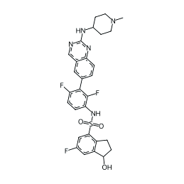 CN1CCC(Nc2ncc3cc(-c4c(F)ccc(NS(=O)(=O)c5cc(F)cc6c5CCC6O)c4F)ccc3n2)CC1